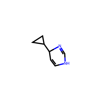 C1=C[C](C2CC2)N=CN1